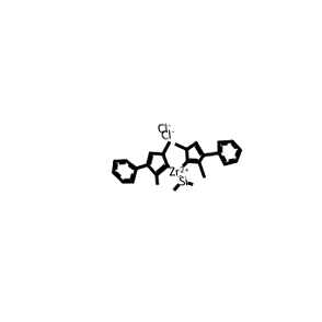 CC1=[C]([Zr+2]([C]2=C(C)C(c3ccccc3)=CC2C)=[Si](C)C)C(C)C=C1c1ccccc1.[Cl-].[Cl-]